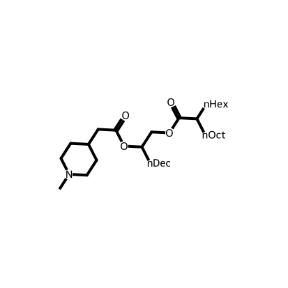 CCCCCCCCCCC(COC(=O)C(CCCCCC)CCCCCCCC)OC(=O)CC1CCN(C)CC1